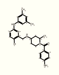 CCc1cnc(Nc2cc(C)cc(C)c2)nc1CNC1CCN(C(=O)c2ccc(N)cc2)C(C(F)(F)F)C1